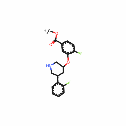 COC(=O)c1ccc(F)c(OC2CNCC(c3ccccc3F)C2)c1